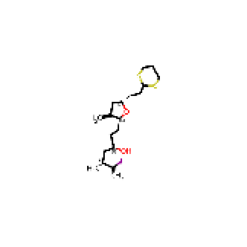 C=C(I)[C@H](C)C[C@H](O)CC[C@@H]1O[C@@H](CCC2SCCCS2)CC1=C